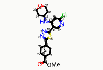 COC(=O)C12CCC(c3nnc(-c4cnc(Cl)cc4NC4CCOCC4)s3)(CC1)CC2